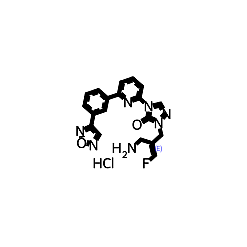 Cl.NC/C(=C\F)Cn1ncn(-c2cccc(-c3cccc(-c4cnon4)c3)n2)c1=O